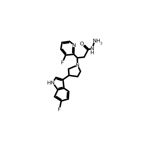 NNC(=O)CC(c1ncccc1F)N1CCC(c2c[nH]c3cc(F)ccc23)C1